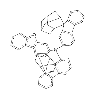 c1ccc2c(c1)-c1ccc(N(c3ccc4c(c3)oc3ccccc34)c3cccc4c3C3(c5ccccc5-4)C4CC5CC(C4)CC3C5)cc1C21C2CC3CC(C2)CC1C3